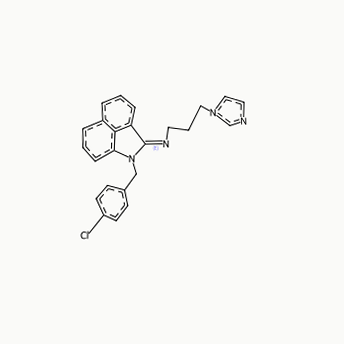 Clc1ccc(CN2/C(=N/CCCn3ccnc3)c3cccc4cccc2c34)cc1